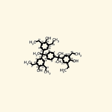 CCc1cc(C(C)(C)c2ccc(C(C)(c3cc(CC)c(O)c(CC)c3)c3cc(CC)c(O)c(CC)c3)cc2)cc(CC)c1O